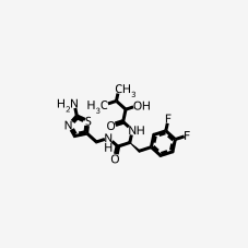 CC(C)C(O)C(=O)N[C@@H](Cc1ccc(F)c(F)c1)C(=O)NCc1cnc(N)s1